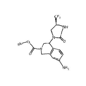 CC(C)(C)OC(=O)N1Cc2cc(N)ccc2C(N2C[C@@H](C(F)(F)F)NC2=O)C1